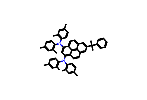 Cc1ccc(N(c2ccc(C)cc2C)c2cc(N(c3ccc(C)cc3C)c3ccc(C)cc3C)c3ccc4cc(C(C)(C)c5ccccc5)cc5ccc2c3c54)c(C)c1